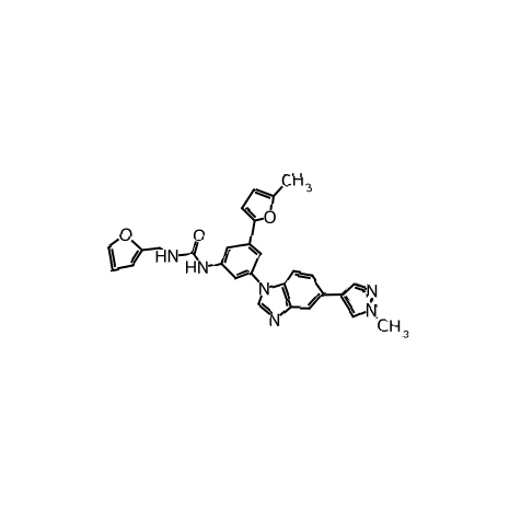 Cc1ccc(-c2cc(NC(=O)NCc3ccco3)cc(-n3cnc4cc(-c5cnn(C)c5)ccc43)c2)o1